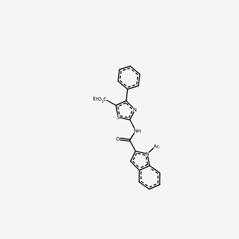 CCOC(=O)c1sc(NC(=O)c2cc3ccccc3n2C(C)=O)nc1-c1ccccc1